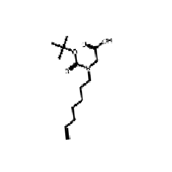 C=CCCCCCN(CC(=O)O)C(=O)OC(C)(C)C